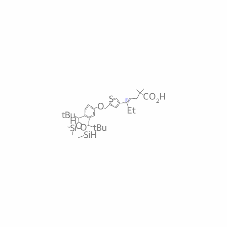 CC/C(=C\CC(C)(C)C(=O)O)c1csc(COc2ccc(C(O[SiH](C)C)C(C)(C)C)c(C(O[SiH](C)C)C(C)(C)C)c2)c1